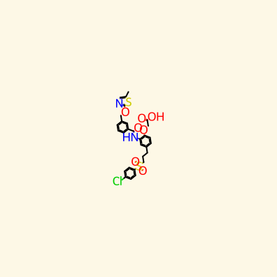 Cc1cnc(OCc2cccc(C(=O)Nc3cc(CCCS(=O)(=O)c4ccc(Cl)cc4)ccc3OCC(=O)O)c2)s1